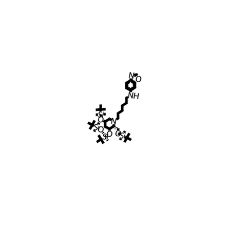 CC(C)(C)[Si](C)(C)OC[C@@H]1C(O[Si](C)(C)C(C)(C)C)C(O[Si](C)(C)C(C)(C)C)C(O[Si](C)(C)C(C)(C)C)CN1CCCCCCNc1ccc2ncoc2c1